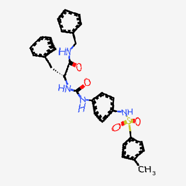 Cc1ccc(S(=O)(=O)Nc2ccc(NC(=O)N[C@H](Cc3ccccc3)C(=O)NCc3ccccc3)cc2)cc1